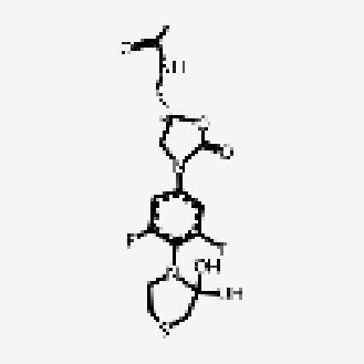 CC(=O)NC[C@H]1CN(c2cc(F)c(N3CCSCC3(O)O)c(F)c2)C(=O)O1